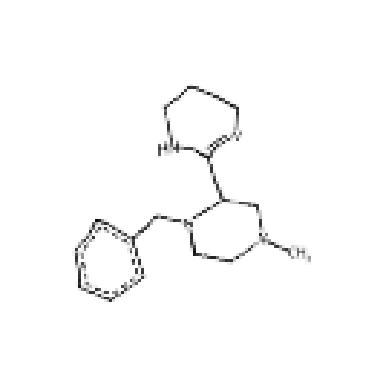 CN1CCN(Cc2ccccc2)C(C2=NCCCN2)C1